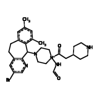 Cc1cc(C)c2c(c1)CCc1cc(Br)cnc1C2N1CC[N+](NC=O)(C(=O)CC2CCNCC2)CC1